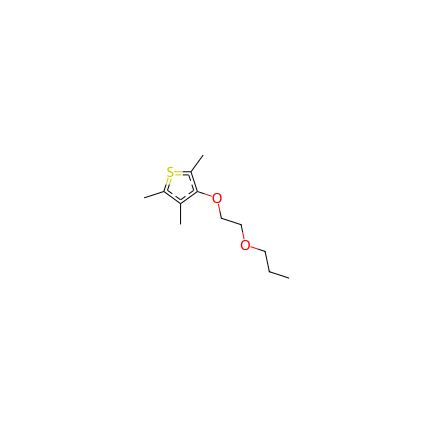 CCCOCCOc1c(C)sc(C)c1C